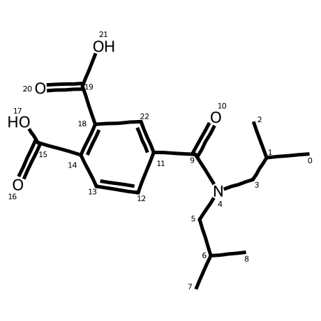 CC(C)CN(CC(C)C)C(=O)c1ccc(C(=O)O)c(C(=O)O)c1